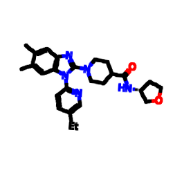 CCc1ccc(-n2c(N3CCC(C(=O)N[C@@H]4CCOC4)CC3)nc3cc(C)c(C)cc32)nc1